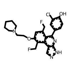 Oc1ccc(-c2nc3[nH]ncc3c3c(CF)c(OCCN4CCCCC4)cc(CF)c23)cc1Cl